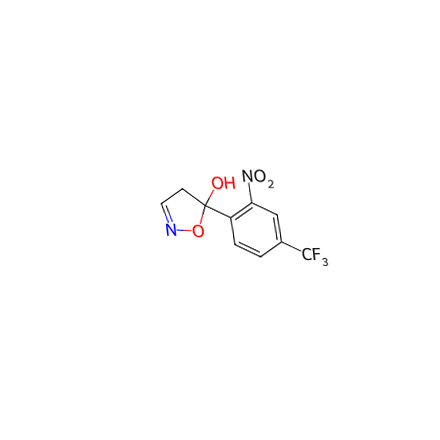 O=[N+]([O-])c1cc(C(F)(F)F)ccc1C1(O)CC=NO1